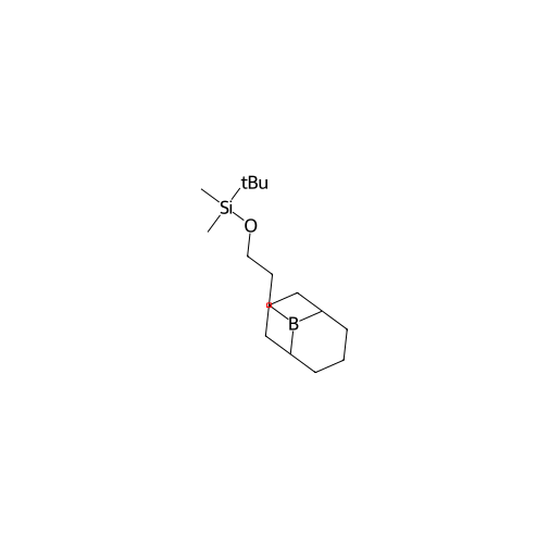 CC(C)(C)[Si](C)(C)OCCCB1C2CCCC1CCC2